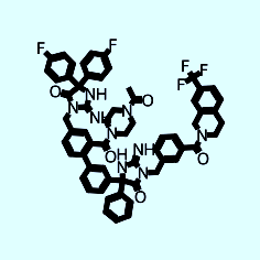 CC(=O)N1CCN(C(=O)c2cc(CN3C(=N)NC(c4ccc(F)cc4)(c4ccc(F)cc4)C3=O)ccc2-c2cccc(C3(c4ccccc4)NC(=N)N(Cc4cccc(C(=O)N5CCc6ccc(C(F)(F)F)cc6C5)c4)C3=O)c2)CC1